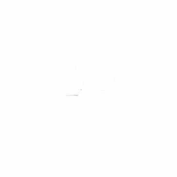 CC(O)C(=O)O.CC(O)CC(=O)O